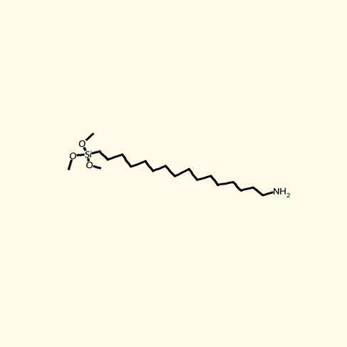 CO[Si](CCCCCCCCCCCCCCCCN)(OC)OC